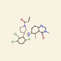 C=CC(=O)N1CC[C@](Nc2ccc3ncn(C)c(=O)c3c2C)(c2c(F)ccc(Cl)c2Cl)C1